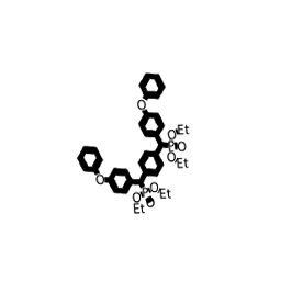 CCOP(=O)(OCC)C(c1ccc(Oc2ccccc2)cc1)c1ccc(C(c2ccc(Oc3ccccc3)cc2)P(=O)(OCC)OCC)cc1